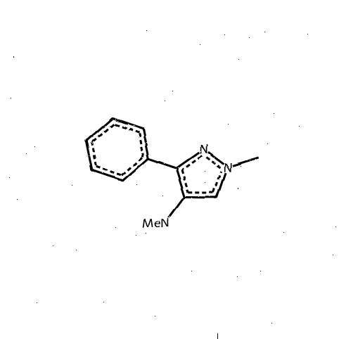 CNc1cn(C)nc1-c1ccccc1